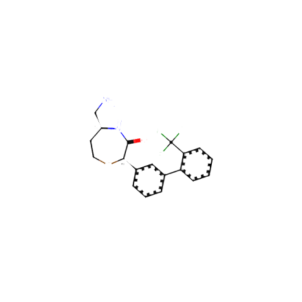 NC[C@@H]1CCS[C@H](c2cccc(-c3ccccc3C(F)(F)F)c2)C(=O)N1